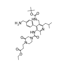 CCOC(=O)CCN1CCN(C(=O)Nc2c(C)nc(CC(C)C)c(CNC(=O)OC(C)(C)C)c2-c2ccc(CN)cc2)CC1=O